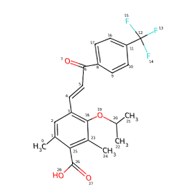 Cc1cc(C=CC(=O)c2ccc(C(F)(F)F)cc2)c(OC(C)C)c(C)c1C(=O)O